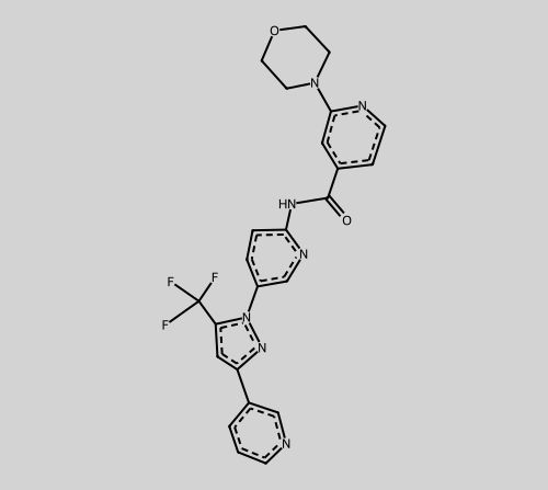 O=C(Nc1ccc(-n2nc(-c3cccnc3)cc2C(F)(F)F)cn1)c1ccnc(N2CCOCC2)c1